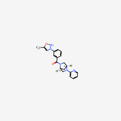 O=C(c1cccc(N2C=C(C(F)(F)F)ON2)c1)N1C[C@@H]2C[C@H]1CN2c1ccccn1